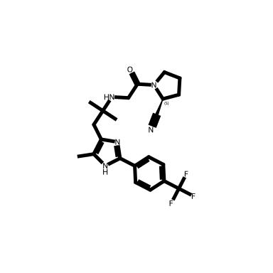 Cc1[nH]c(-c2ccc(C(F)(F)F)cc2)nc1CC(C)(C)NCC(=O)N1CCC[C@H]1C#N